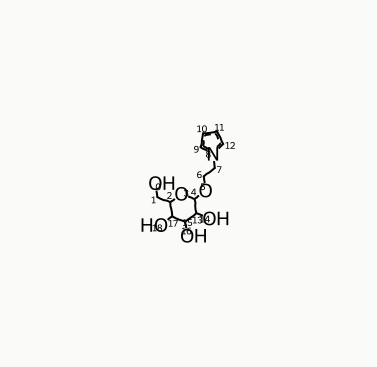 OCC1OC(OCCn2cccc2)C(O)C(O)C1O